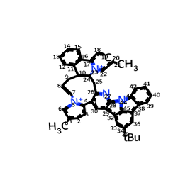 Cc1ccc2[n+](c1)/C=C/CC1c3ccccc3-c3ccc(C)c[n+]3C1Cc1nc3c(cc1-2)c1cc(C(C)(C)C)cc2c4ccccc4n3c21